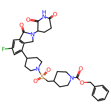 O=C1CCC(N2Cc3c(cc(F)cc3C3CCN(S(=O)(=O)CC4CCN(C(=O)OCc5ccccc5)CC4)CC3)C2=O)C(=O)N1